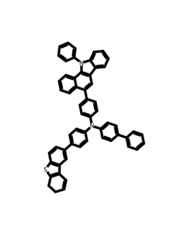 C1=Cc2c(sc3ccc(-c4ccc(N(c5ccc(-c6ccccc6)cc5)c5ccc(-c6cc7c8ccccc8n(-c8ccccc8)c7c7ccccc67)cc5)cc4)cc23)CC1